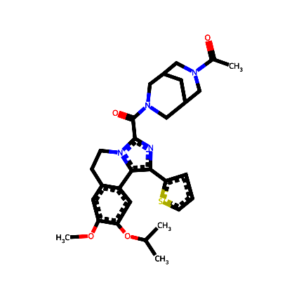 COc1cc2c(cc1OC(C)C)-c1c(-c3cccs3)nc(C(=O)N3CC4CC(CN(C(C)=O)C4)C3)n1CC2